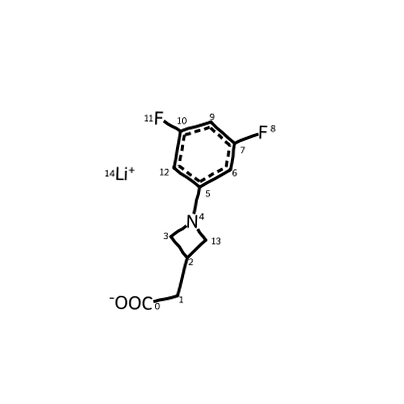 O=C([O-])CC1CN(c2cc(F)cc(F)c2)C1.[Li+]